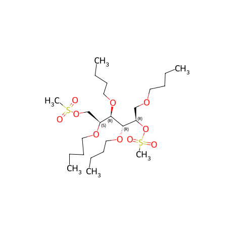 CCCCOC[C@@H](OS(C)(=O)=O)[C@H](OCCCC)[C@H](OCCCC)[C@H](COS(C)(=O)=O)OCCCC